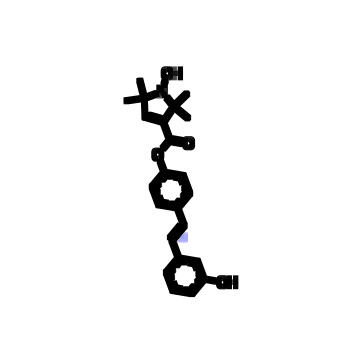 CC1(C)C=C(C(=O)Oc2ccc(/C=C/c3cccc(O)c3)cc2)C(C)(C)N1O